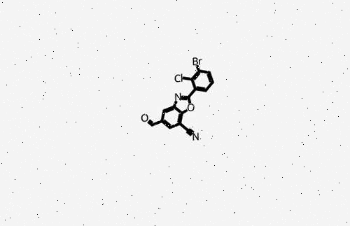 N#Cc1cc(C=O)cc2nc(-c3cccc(Br)c3Cl)oc12